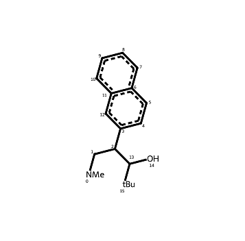 CNCC(c1ccc2ccccc2c1)C(O)C(C)(C)C